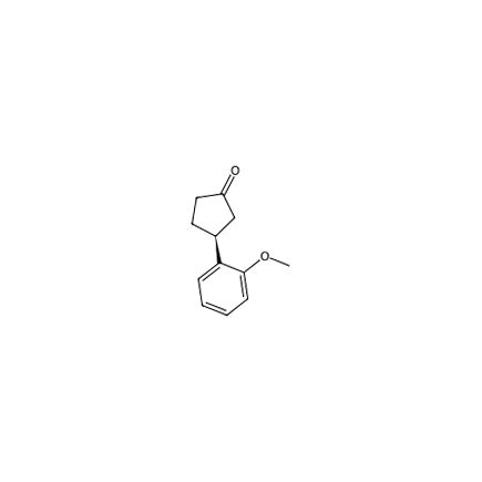 COc1ccccc1[C@H]1CCC(=O)C1